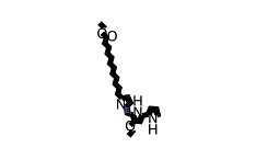 CCOC(=O)CCCCCCCCCCCC1=N/C(=C/c2[nH]c(-c3ccc[nH]3)cc2OCC)C=C1